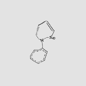 C1=C[Se]N(c2ccccc2)C=C1